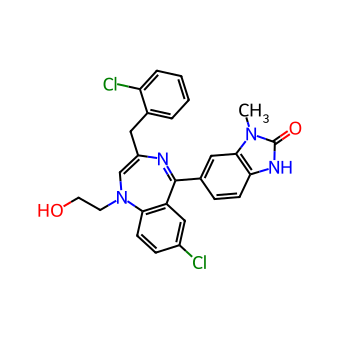 Cn1c(=O)[nH]c2ccc(C3=NC(Cc4ccccc4Cl)=CN(CCO)c4ccc(Cl)cc43)cc21